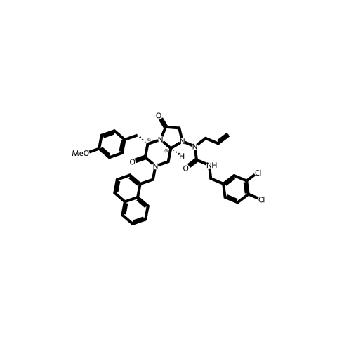 C=CCN(C(=O)NCc1ccc(Cl)c(Cl)c1)N1CC(=O)N2[C@@H](Cc3ccc(OC)cc3)C(=O)N(Cc3cccc4ccccc34)C[C@@H]21